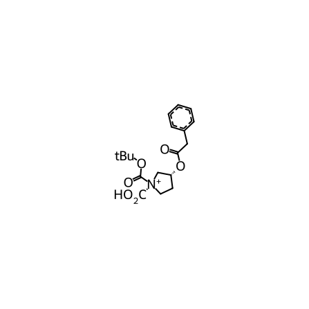 CC(C)(C)OC(=O)[N+]1(C(=O)O)CC[C@@H](OC(=O)Cc2ccccc2)C1